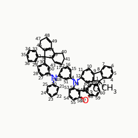 CC1(C)c2ccccc2-c2ccc(N(c3cccc(N(c4ccccc4)c4cccc(C5(c6ccccc6)C6=C(CCC=C6)C6=C5CCC=C6)c4)c3)c3cccc4oc5ccccc5c34)cc21